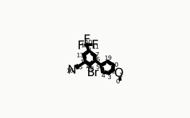 COc1ccc(-c2cc(C(F)(F)F)cc(C#N)c2Br)cc1